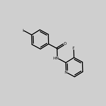 O=C(Nc1ncccc1F)c1ccc(I)cc1